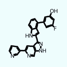 Oc1cc(F)cc(-c2cccc3[nH]c(-c4n[nH]c5cnc(-c6cccnc6)cc45)cc23)c1